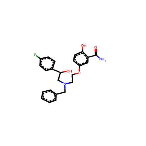 NC(=O)c1cc(OCCN(Cc2ccccc2)CC(O)c2ccc(F)cc2)ccc1O